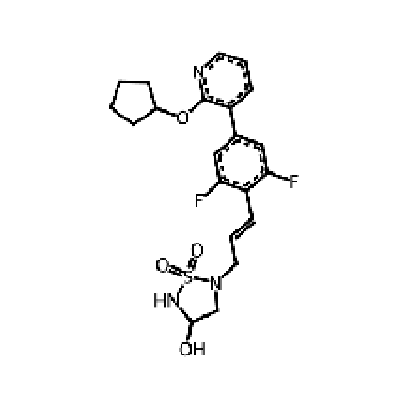 O=S1(=O)NC(O)CN1C/C=C/c1c(F)cc(-c2cccnc2OC2CCCC2)cc1F